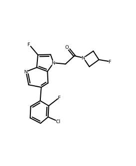 O=C(Cn1cc(F)c2ncc(-c3cccc(Cl)c3F)cc21)N1CC(F)C1